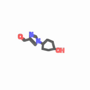 O=Cc1cn(C2CCC(O)CC2)cn1